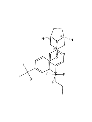 CCCOc1cc(C(F)(F)F)ccc1S[C@H]1C[C@H]2CC[C@@H](C1)N2c1ccc(C(F)(F)F)cn1